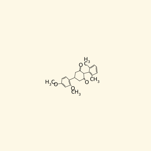 COc1ccc(C2CC(=O)C(c3c(C)cccc3C)C(=O)C2)c(OC)c1